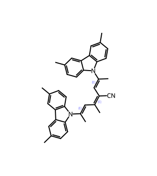 C\C(=C/C(C)=C(C#N)\C=C(/C)n1c2ccc(C)cc2c2cc(C)ccc21)n1c2ccc(C)cc2c2cc(C)ccc21